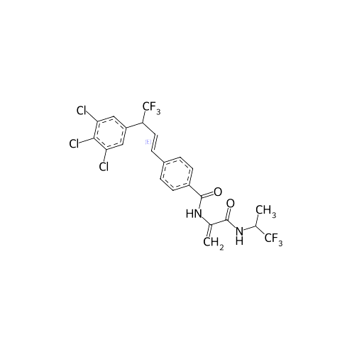 C=C(NC(=O)c1ccc(/C=C/C(c2cc(Cl)c(Cl)c(Cl)c2)C(F)(F)F)cc1)C(=O)NC(C)C(F)(F)F